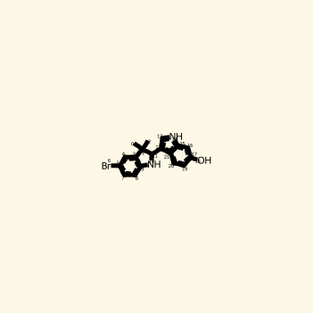 CC1(C)c2cc(Br)ccc2NC1c1c[nH]c2cc(O)ccc12